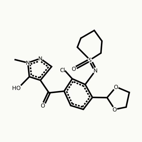 Cn1ncc(C(=O)c2ccc(C3OCCO3)c(N=S3(=O)CCCCC3)c2Cl)c1O